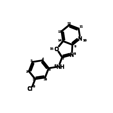 Clc1cccc(Nc2nc3ncccc3o2)c1